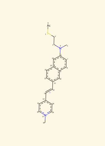 CC(=O)SCCN(C)c1ccc2cc(/C=C/c3cc[n+](C)cc3)ccc2c1